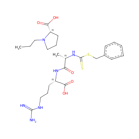 CCCN1CCC[C@H]1C(=O)O.C[C@H](NC(=S)SCc1ccccc1)C(=O)N[C@@H](CCCNC(=N)N)C(=O)O